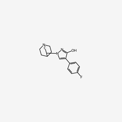 Oc1nn(C2CN3CCC2CC3)cc1-c1ccc(F)cc1